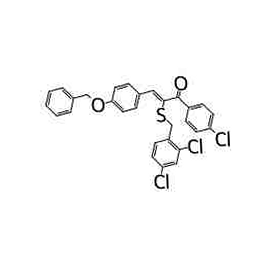 O=C(C(=Cc1ccc(OCc2ccccc2)cc1)SCc1ccc(Cl)cc1Cl)c1ccc(Cl)cc1